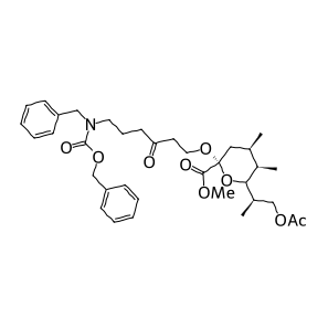 COC(=O)[C@@]1(OCCC(=O)CCCN(Cc2ccccc2)C(=O)OCc2ccccc2)C[C@@H](C)[C@@H](C)C([C@H](C)COC(C)=O)O1